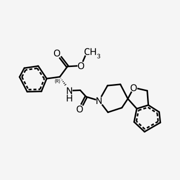 COC(=O)[C@H](NCC(=O)N1CCC2(CC1)OCc1ccccc12)c1ccccc1